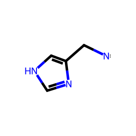 [N]Cc1c[nH]cn1